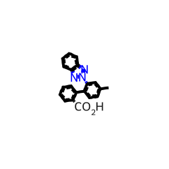 Cc1ccc(-c2ccccc2C(=O)O)c(-n2nc3ccccc3n2)c1